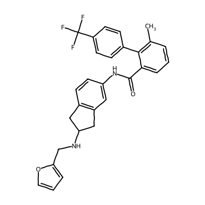 Cc1cccc(C(=O)Nc2ccc3c(c2)CC(NCc2ccco2)C3)c1-c1ccc(C(F)(F)F)cc1